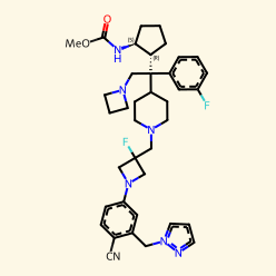 COC(=O)N[C@H]1CCC[C@@H]1C(CN1CCC1)(c1cccc(F)c1)C1CCN(CC2(F)CN(c3ccc(C#N)c(Cn4cccn4)c3)C2)CC1